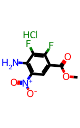 COC(=O)c1cc([N+](=O)[O-])c(N)c(F)c1F.Cl